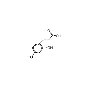 COc1ccc(/C=C/C(=O)O)c(O)c1